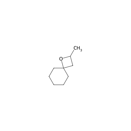 CC1CC2(CCCCC2)O1